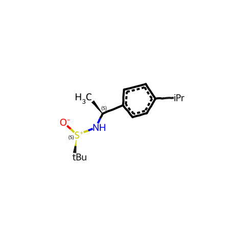 CC(C)c1ccc([C@H](C)N[S@+]([O-])C(C)(C)C)cc1